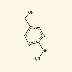 NNc1ncc(CO)cn1